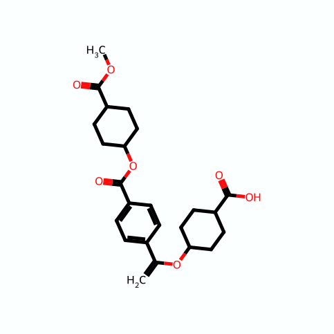 C=C(OC1CCC(C(=O)O)CC1)c1ccc(C(=O)OC2CCC(C(=O)OC)CC2)cc1